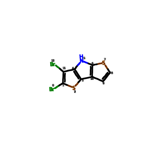 Brc1sc2c([nH]c3sccc32)c1Br